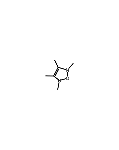 CC1=C(C)N(C)ON1C